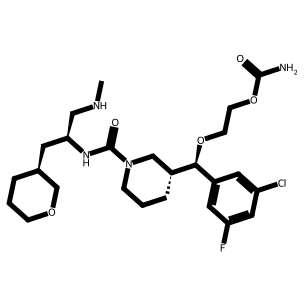 CNC[C@H](C[C@@H]1CCCOC1)NC(=O)N1CCC[C@@H]([C@@H](OCCOC(N)=O)c2cc(F)cc(Cl)c2)C1